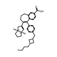 O=C(O)c1ccc2c(c1)CCCC(C1=C[C@@H]3CCC[C@@H]3C1)=C2c1ccc(CC2CN(CCCF)C2)cc1